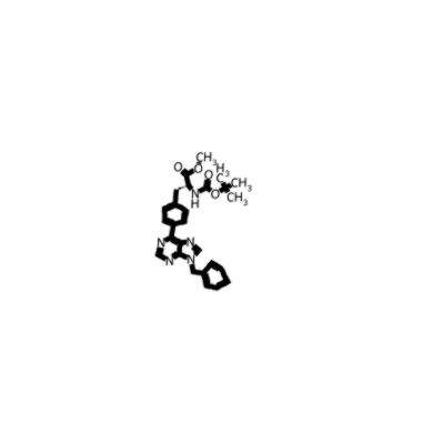 COC(=O)[C@@H](Cc1ccc(-c2ncnc3c2ncn3Cc2ccccc2)cc1)NC(=O)OC(C)(C)C